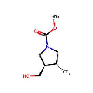 CC(C)(C)OC(=O)N1C[C@H](CO)[C@@H](C(F)(F)F)C1